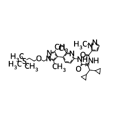 Cc1nn(COCCS(C)(C)C)c(C)c1-c1ccc(NC(=O)[C@@H](NC(=O)c2ccnn2C)C(C2CC2)C2CC2)nc1Cl